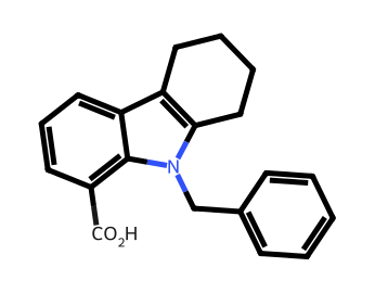 O=C(O)c1cccc2c3c(n(Cc4ccccc4)c12)CCCC3